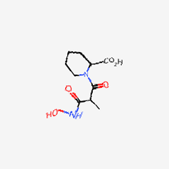 CC(C(=O)NO)C(=O)N1CCCCC1C(=O)O